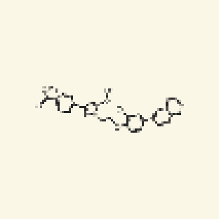 CCOc1cc(-c2ccc(C(=O)OC)cc2)nn1CCOc1ccc(-c2ccc3ccccc3c2)cc1Cl